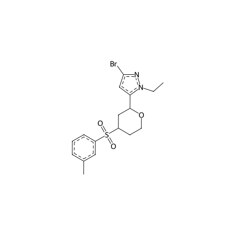 CCn1nc(Br)cc1C1CC(S(=O)(=O)c2cccc(C)c2)CCO1